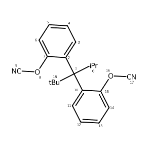 CC(C)C(c1ccccc1OC#N)(c1ccccc1OC#N)C(C)(C)C